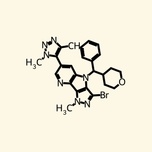 Cc1nnn(C)c1-c1cnc2c3c(c(Br)nn3C)n(C(c3ccccc3)C3CCOCC3)c2c1